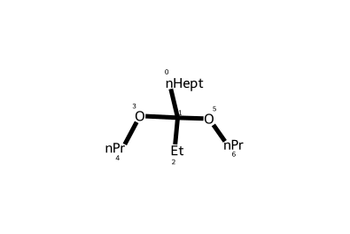 CCCCCCCC(CC)(OCCC)OCCC